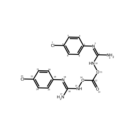 NC(=Nc1ccc(Cl)cc1)NOC(=O)ONC(N)=Nc1ccc(Cl)cc1